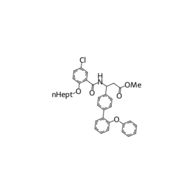 CCCCCCCOc1ccc(Cl)cc1C(=O)NC(CC(=O)OC)c1ccc(-c2ccccc2Oc2ccccc2)cc1